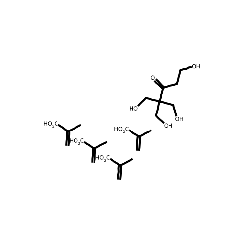 C=C(C)C(=O)O.C=C(C)C(=O)O.C=C(C)C(=O)O.C=C(C)C(=O)O.O=C(CCO)C(CO)(CO)CO